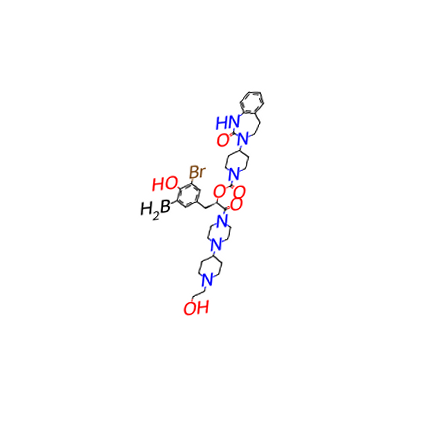 Bc1cc(C[C@@H](OC(=O)N2CCC(N3CCc4ccccc4NC3=O)CC2)C(=O)N2CCN(C3CCN(CCO)CC3)CC2)cc(Br)c1O